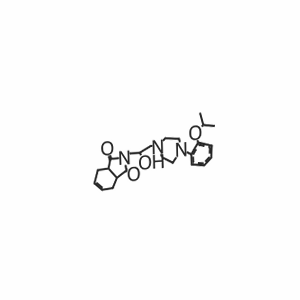 CC(C)Oc1ccccc1N1CCN(CC(O)CN2C(=O)C3CC=CCC3C2=O)CC1